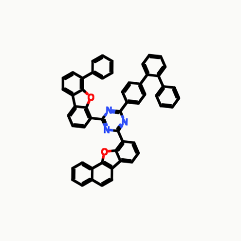 c1ccc(-c2ccccc2-c2ccc(-c3nc(-c4cccc5c4oc4c(-c6ccccc6)cccc45)nc(-c4cccc5c4oc4c6ccccc6ccc54)n3)cc2)cc1